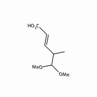 COC(OC)C(C)C=CC(=O)O